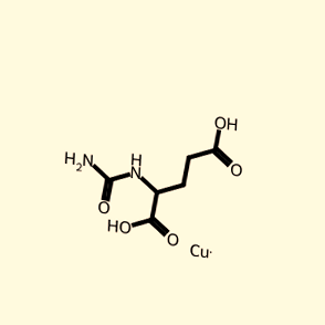 NC(=O)NC(CCC(=O)O)C(=O)O.[Cu]